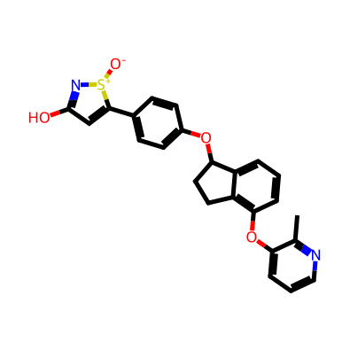 Cc1ncccc1Oc1cccc2c1CCC2Oc1ccc(-c2cc(O)n[s+]2[O-])cc1